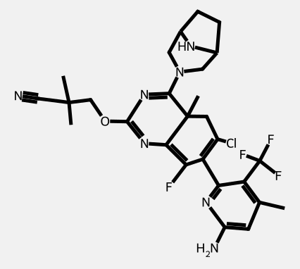 Cc1cc(N)nc(C2=C(Cl)CC3(C)C(N4CC5CCC(C4)N5)=NC(OCC(C)(C)C#N)=NC3=C2F)c1C(F)(F)F